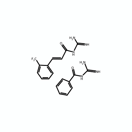 N=C(N)NC(=O)C=Cc1ccccc1C(F)(F)F.N=C(N)NC(=O)c1ccccc1